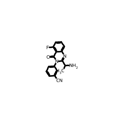 CC(N)c1nc2cccc(F)c2c(=O)n1-c1cccc(C#N)c1